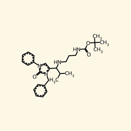 CC(C)C(NCCCNC(=O)OC(C)(C)C)c1cn(-c2ccccc2)c(=O)n1Cc1ccccc1